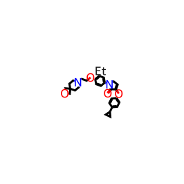 CCc1cc(N2CC=C(Oc3ccc(C4CC4)cc3)C2=O)ccc1OCCN1CCC2(CC1)COC2